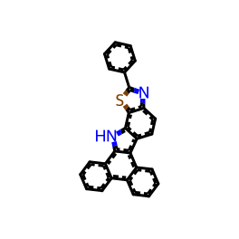 c1ccc(-c2nc3ccc4c([nH]c5c6ccccc6c6ccccc6c45)c3s2)cc1